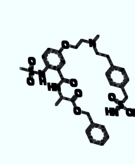 CC(NC(=O)c1cc(OCCN(C)CCc2ccc(CS(=N)(=O)O)cc2)ccc1NS(C)(=O)=O)C(=O)OCc1ccccc1